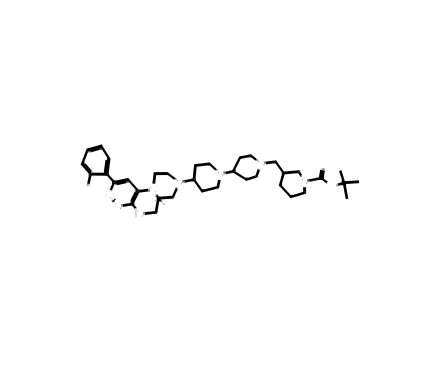 CC(C)(C)OC(=O)N1CCCC(CN2CCC(N3CCC(N4CCN5c6cc(-c7ccccc7O)nnc6NC[C@H]5C4)CC3)CC2)C1